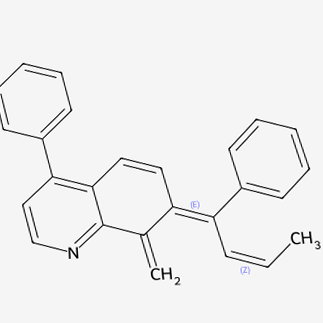 C=c1/c(=C(\C=C/C)c2ccccc2)ccc2c(-c3ccccc3)ccnc12